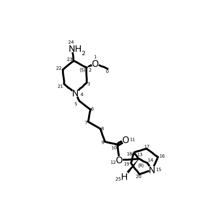 CO[C@H]1CN(CCCCCC(=O)O[C@H]2CN3CCC2CC3)CCC1N